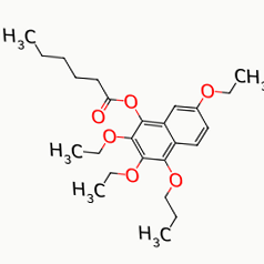 CCCCCC(=O)Oc1c(OCC)c(OCC)c(OCCC)c2ccc(OCC)cc12